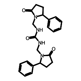 O=C(NCN1C(=O)CCC1c1ccccc1)NCN1C(=O)CCC1c1ccccc1